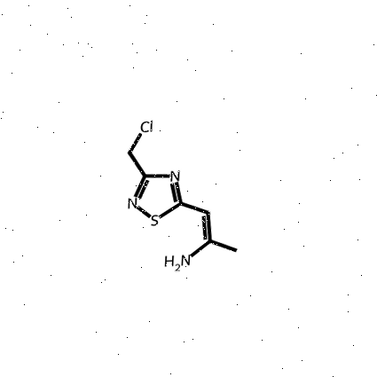 CC(N)=Cc1nc(CCl)ns1